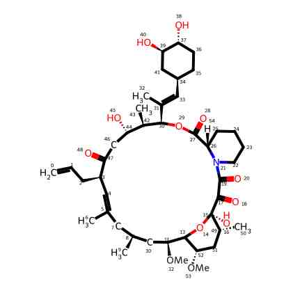 C=CC[C@@H]1/C=C(\C)C[C@H](C)C[C@H](OC)C2O[C@@](O)(C(=O)C(=O)N3CCCC[C@H]3C(=O)O[C@H](/C(C)=C/[C@@H]3CC[C@@H](O)[C@H](O)C3)[C@H](C)[C@@H](O)CC1=O)[C@H](C)C[C@@H]2OC